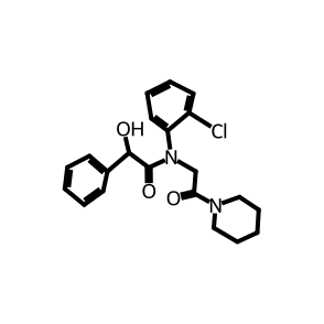 O=C(CN(C(=O)C(O)c1ccccc1)c1ccccc1Cl)N1CCCCC1